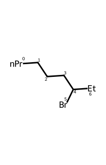 C[CH]CCCCC(Br)CC